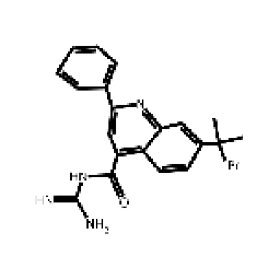 CC(C)C(C)(C)c1ccc2c(C(=O)NC(=N)N)cc(-c3ccccc3)nc2c1